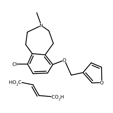 CN1CCc2c(Cl)ccc(OCc3ccoc3)c2CC1.O=C(O)C=CC(=O)O